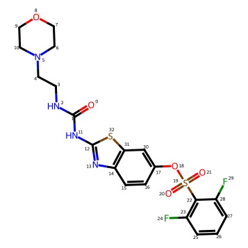 O=C(NCCN1CCOCC1)Nc1nc2ccc(OS(=O)(=O)c3c(F)cccc3F)cc2s1